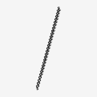 S=S=S=S=S=S=S=S=S=S=S=S=S=S=S=S=S=S=S=S=S=S=S=S=S=S=S=S=S=S=S=S=S=S=S=S=S=S=S=S=S=S=S=S=S=S=S=S=S=S=S=S=S=S=S=S